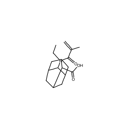 C=C(C)C(=O)N(CC)C1C2CC3CC1CC(C2)C3C(=O)O